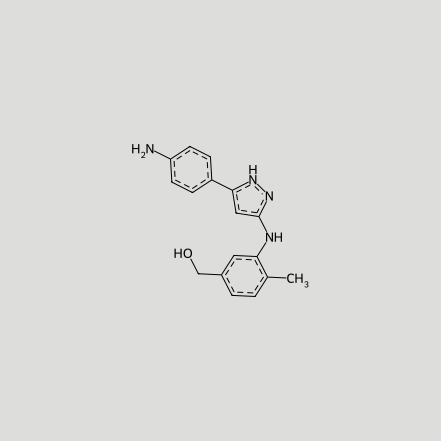 Cc1ccc(CO)cc1Nc1cc(-c2ccc(N)cc2)[nH]n1